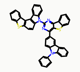 c1ccc(-n2c3ccccc3c3cc(-c4nc(-n5c6ccccc6c6c7c(ccc65)sc5ccccc57)nc5c4sc4ccccc45)ccc32)cc1